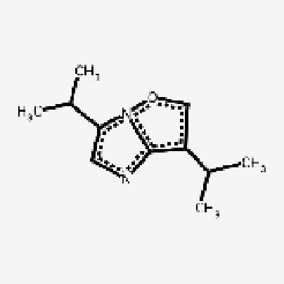 CC(C)c1con2c(C(C)C)cnc12